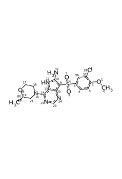 COc1ccc(S(=O)(=O)c2c(N)[nH]c3c(N4CCO[C@H](C)C4)ncnc23)cc1Cl